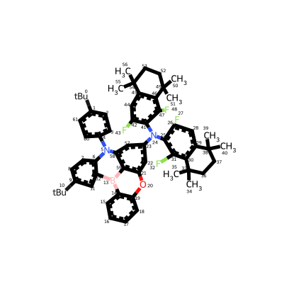 CC(C)(C)c1ccc(N2c3ccc(C(C)(C)C)cc3B3c4ccccc4Oc4cc(N(c5c(F)cc6c(c5F)C(C)(C)CCC6(C)C)c5c(F)cc6c(c5F)C(C)(C)CCC6(C)C)cc2c43)cc1